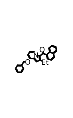 CCc1cc2c(OCc3ccccc3)cccn2c1C(=O)c1cccc2ccccc12